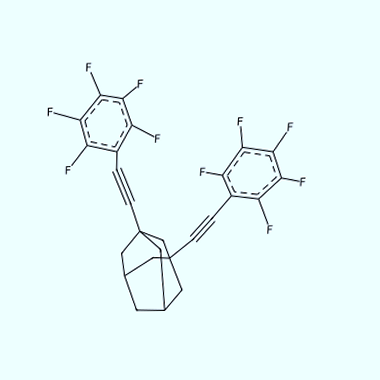 Fc1c(F)c(F)c(C#CC23CC4CC(C2)CC(C#Cc2c(F)c(F)c(F)c(F)c2F)(C4)C3)c(F)c1F